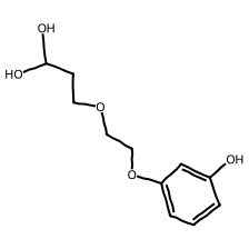 Oc1cccc(OCCOCCC(O)O)c1